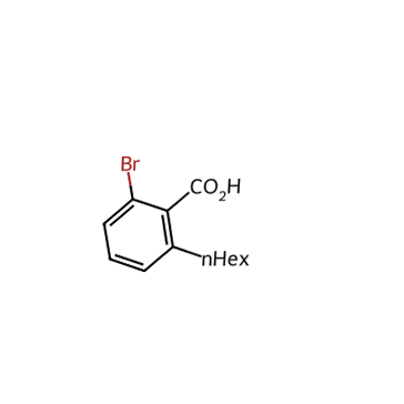 CCCCCCc1cccc(Br)c1C(=O)O